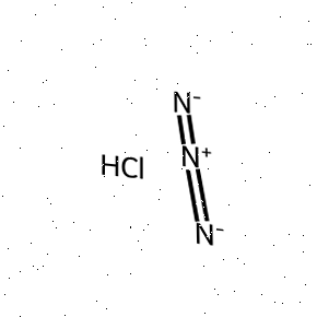 Cl.[N-]=[N+]=[N-]